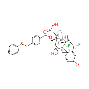 C[C@]12C=CC(=O)C=C1[C@@H](F)C[C@H]1[C@@H]3CC[C@](OC(=O)c4ccc(CSc5ccccc5)cc4)(C(=O)O)[C@@]3(C)C[C@H](O)[C@@]12F